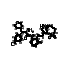 N[C@H](C(=O)Nc1cccc(F)c1CCC1CNC2CCCS(=O)(=O)N1C2)[C@@H](c1ccc(Cl)cc1)C1CCOCC1